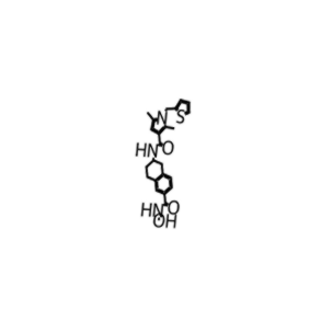 Cc1cc(C(=O)NC2CCc3cc(C(=O)NO)ccc3C2)c(C)n1Cc1cccs1